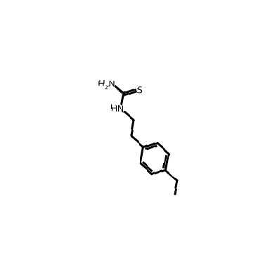 CCc1ccc(CCNC(N)=S)cc1